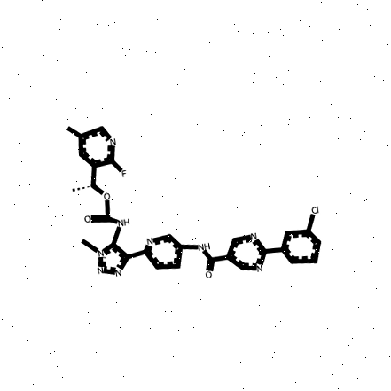 Cc1cnc(F)c([C@@H](C)OC(=O)Nc2c(-c3ccc(NC(=O)c4cnc(-c5cccc(Cl)c5)nc4)cn3)nnn2C)c1